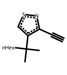 C#Cc1nscc1C(C)(C)CCCCCC